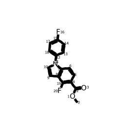 COC(=O)c1ccc2c(ccn2-c2ccc(F)cc2)c1F